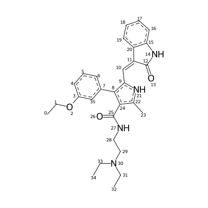 CCOc1cccc(-c2c(C=C3C(=O)Nc4ccccc43)[nH]c(C)c2C(=O)NCCN(CC)CC)c1